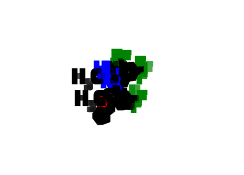 CN/N=C(\N=N)N(Cc1cc(C(F)(F)F)cc(C(F)(F)F)c1)Cc1cc(C(F)(F)F)ccc1C(C)(CC1CCCC1)OC